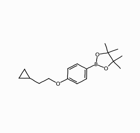 CC1(C)OB(c2ccc(OCCC3CC3)cc2)OC1(C)C